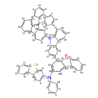 c1ccc(N(c2ccc3c(c2)sc2ccccc23)c2cc(-c3ccc4c(c3)c3ccccc3n4-c3ccc4c(c3)C(c3ccccc3)(c3ccccc3)c3ccccc3-4)c3oc4ccccc4c3c2)cc1